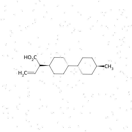 C=CC(C(=O)O)[C@H]1CC[C@H]([C@H]2CC[C@H](C)CC2)CC1